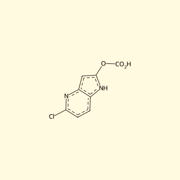 O=C(O)Oc1cc2nc(Cl)ccc2[nH]1